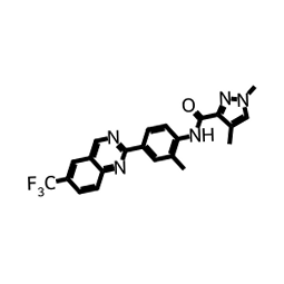 Cc1cc(-c2ncc3cc(C(F)(F)F)ccc3n2)ccc1NC(=O)c1nn(C)cc1C